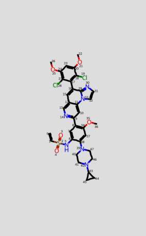 C=CS(=O)(=O)Nc1cc(-c2cc3c(cn2)cc(-c2c(Cl)c(OC)cc(OC)c2Cl)c2nccn23)c(OC)cc1N1CCN(C2CC2)CC1